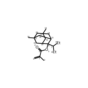 C=C(C)C(=O)OC1(C(CC)CC)C2CC3(C)CC1CC(C)(C2)C3